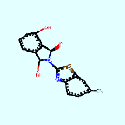 O=C1c2c(O)cccc2C(O)N1c1nc2ccc(C(F)(F)F)cc2s1